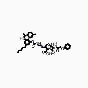 C=C(C)[C@@H]1CCC(C)=C[C@H]1c1c(O)cc(CCCCC)cc1OC(=O)NC/C=C/C1=C(C(=O)O)N2C(=O)[C@@H](NC(=O)COc3ccccc3)[C@H]2SC1